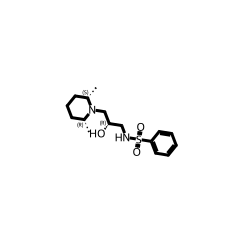 C[C@@H]1CCC[C@H](C)N1C[C@@H](O)CNS(=O)(=O)c1ccccc1